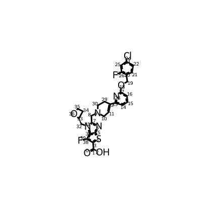 O=C(O)c1sc2nc(CN3CC=C(c4cccc(OCc5ccc(Cl)cc5F)n4)CC3)n(C[C@@H]3CCO3)c2c1F